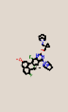 C#Cc1c(F)ccc2cc(O)cc(-c3c(F)cc4c(N5CC6CCC(C5)N6)nc(OCC5(CN6C7CCCC6C7)CC5)nc4c3F)c12